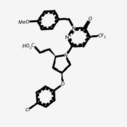 COc1ccc(Cn2nc(N3C[C@@H](Oc4ccc(Cl)cc4)C[C@H]3CCC(=O)O)cc(C(F)(F)F)c2=O)cc1